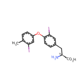 Cc1ccc(Oc2ccc(C[C@H](N)C(=O)O)cc2I)cc1I